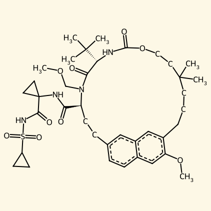 COCN1C(=O)[C@H](C(C)(C)C)NC(=O)OCCC(C)(C)CCCc2cc3cc(ccc3cc2OC)CC[C@H]1C(=O)NC1(C(=O)NS(=O)(=O)C2CC2)CC1